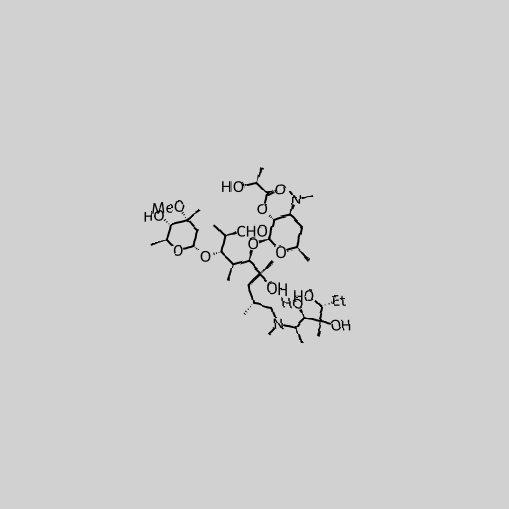 CC[C@@H](O)[C@](C)(O)[C@H](O)[C@@H](C)N(C)C[C@H](C)C[C@@](C)(O)[C@H](O[C@@H]1O[C@H](C)C[C@H](N(C)C)[C@H]1OC(=O)[C@H](C)O)[C@@H](C)[C@H](O[C@H]1C[C@@](C)(OC)[C@@H](O)[C@H](C)O1)[C@@H](C)C=O